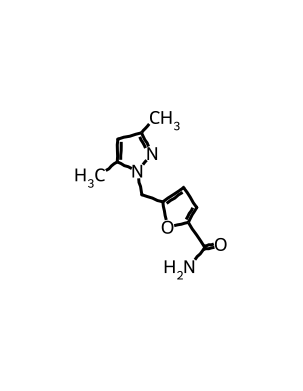 Cc1cc(C)n(Cc2ccc(C(N)=O)o2)n1